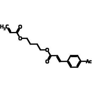 C=CC(=O)OCCCCOC(=O)/C=C/c1ccc(C(C)=O)cc1